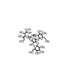 O=C[C@@H](O)[C@@H](O)[C@H](O)[C@H](O)CO.OC[C@H]1O[C@@](CO)(O[C@H]2O[C@H](CO)[C@@H](O)[C@H](O)[C@H]2O)[C@@H](O[C@H]2O[C@H](CO)[C@@H](O)[C@H](O)[C@H]2O)[C@@H]1O